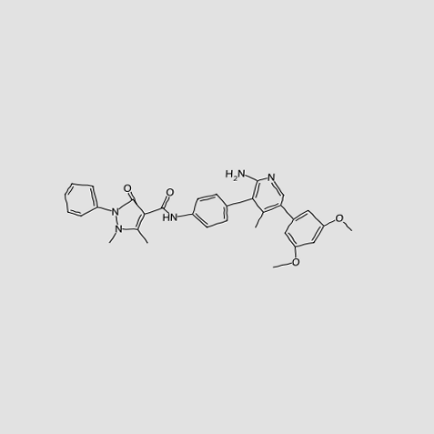 COc1cc(OC)cc(-c2cnc(N)c(-c3ccc(NC(=O)c4c(C)n(C)n(-c5ccccc5)c4=O)cc3)c2C)c1